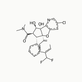 C=C(/C=C\C(=C/C)C(F)F)[C@@]12Oc3cc(Cl)cnc3[C@]1(O)[C@H](O)[C@H](C(=O)N(C)C)[C@H]2c1ccccc1